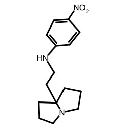 O=[N+]([O-])c1ccc(NCCC23CCCN2CCC3)cc1